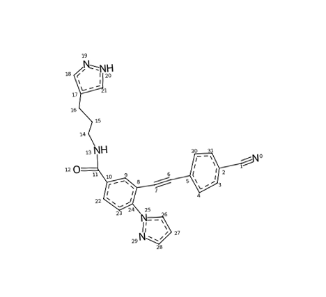 N#Cc1ccc(C#Cc2cc(C(=O)NCCCc3cn[nH]c3)ccc2-n2cccn2)cc1